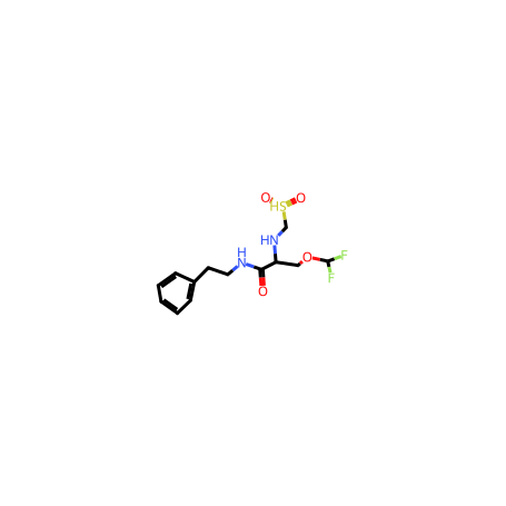 O=C(NCCc1ccccc1)C(COC(F)F)NC[SH](=O)=O